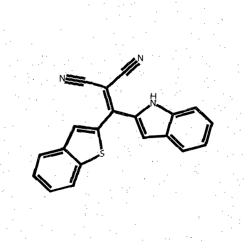 N#CC(C#N)=C(c1cc2ccccc2[nH]1)c1cc2ccccc2s1